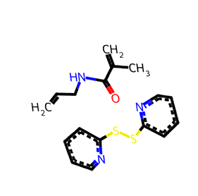 C=CCNC(=O)C(=C)C.c1ccc(SSc2ccccn2)nc1